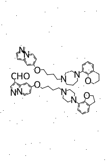 O=Cc1cnn2ccc(OCCCCN3CCN(c4cccc5c4OCC5)CC3)cc12.c1cc2c(c(N3CCCN(CCCCOc4ccn5nccc5c4)CC3)c1)OCCC2